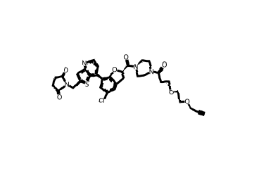 C#CCOCCOCCC(=O)N1CCN(C(=O)[C@H]2Cc3cc(Cl)cc(-c4ccnc5cc(CN6C(=O)CCC6=O)sc45)c3O2)CC1